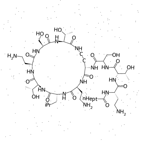 CCCCCCCC(=O)N[C@@H](CCN)C(=O)N[C@H](C(=O)NC(CO)C(=O)N[C@H]1CCNC(=O)[C@H]([C@@H](C)O)NC(=O)[C@H](CO)NC(=O)[C@H](CCN)NC(=O)[C@H]([C@@H](C)O)NC(=O)[C@@H](CC(C)C)NC(=O)[C@H](CCN)NC1=O)[C@@H](C)O